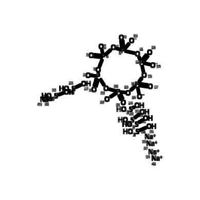 O=P1([O-])OP(=O)([O-])OP(=O)([O-])OP(=O)([O-])OP(=O)([O-])OP(=O)([O-])O1.O=S(=O)(O)O.O=S(=O)(O)O.O=S(=O)(O)O.O=S(=O)(O)O.O=S(=O)(O)O.O=S(=O)(O)O.[Na+].[Na+].[Na+].[Na+].[Na+].[Na+]